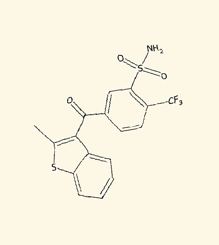 Cc1sc2ccccc2c1C(=O)c1ccc(C(F)(F)F)c(S(N)(=O)=O)c1